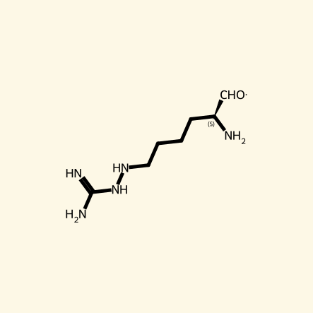 N=C(N)NNCCCC[C@H](N)[C]=O